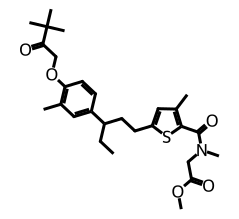 CCC(CCc1cc(C)c(C(=O)N(C)CC(=O)OC)s1)c1ccc(OCC(=O)C(C)(C)C)c(C)c1